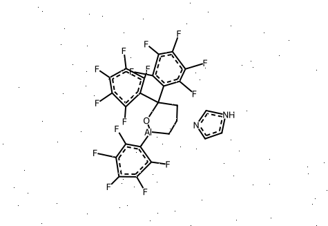 Fc1c(F)c(F)[c]([Al]2[CH2]CCC(c3c(F)c(F)c(F)c(F)c3F)(c3c(F)c(F)c(F)c(F)c3F)[O]2)c(F)c1F.c1c[nH]cn1